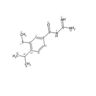 CSc1cc(C(=O)NC(=N)N)ccc1C(C)C